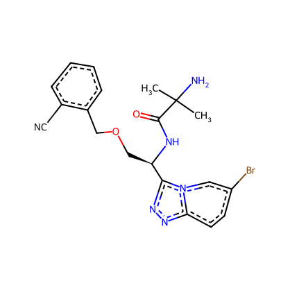 CC(C)(N)C(=O)N[C@H](COCc1ccccc1C#N)c1nnc2ccc(Br)cn12